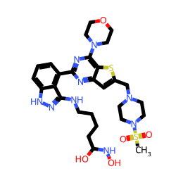 CS(=O)(=O)N1CCN(Cc2cc3nc(-c4cccc5[nH]nc(NCCCCC(O)NO)c45)nc(N4CCOCC4)c3s2)CC1